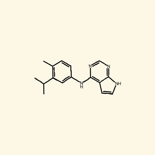 Cc1ccc(Nc2ncnc3[nH]ccc23)cc1C(C)C